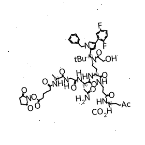 CC(=O)CC[C@H](NC(=O)CCNC(=O)[C@H](CCN(C(=O)CO)[C@@H](c1cc(-c2cc(F)ccc2F)cn1Cc1ccccc1)C(C)(C)C)NC(=O)[C@H](CC(N)=O)NC(=O)CNC(=O)[C@H](C)NC(=O)CCCC(=O)ON1C(=O)CCC1=O)C(=O)O